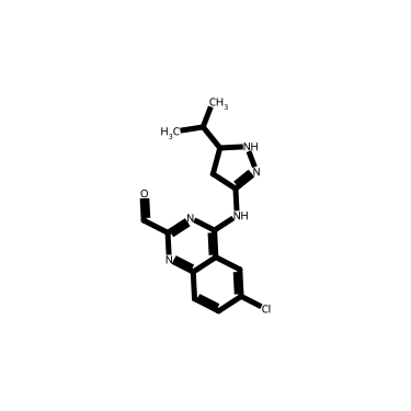 CC(C)C1CC(Nc2nc(C=O)nc3ccc(Cl)cc23)=NN1